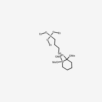 CCCC1(OC)CCCC[Si]1(OC)OC.CCO[Si](CCCS)(OCC)OCC